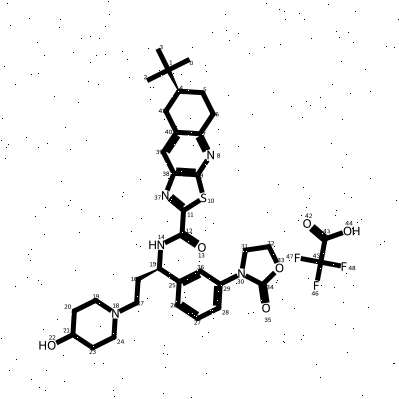 CC(C)(C)[C@H]1CCc2nc3sc(C(=O)N[C@H](CCN4CCC(O)CC4)c4cccc(N5CCOC5=O)c4)nc3cc2C1.O=C(O)C(F)(F)F